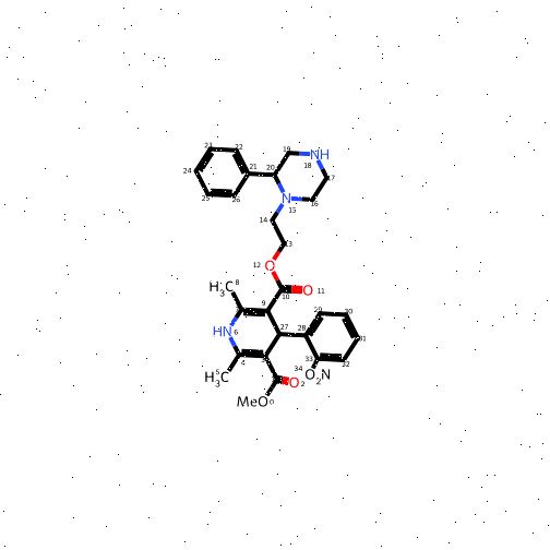 COC(=O)C1=C(C)NC(C)=C(C(=O)OCCN2CCNCC2c2ccccc2)C1c1ccccc1[N+](=O)[O-]